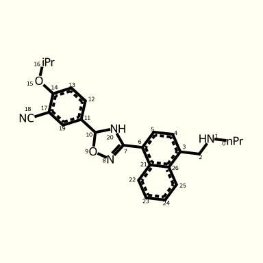 CCCNCc1ccc(C2=NOC(c3ccc(OC(C)C)c(C#N)c3)N2)c2ccccc12